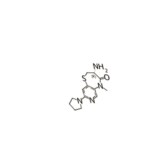 CN1C(=O)[C@@H](N)CSc2cc(N3CCCC3)ncc21